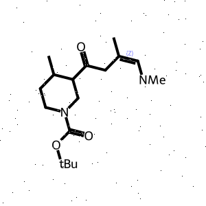 CN/C=C(/C)CC(=O)C1CN(C(=O)OC(C)(C)C)CCC1C